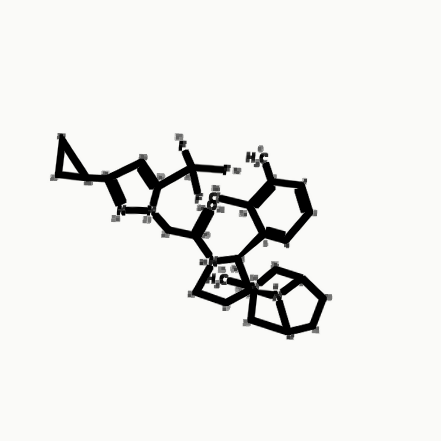 Cc1cccc([C@H]2[C@@H](N3C4CCC3CN(C)C4)CCN2C(=O)Cn2nc(C3CC3)cc2C(F)(F)F)c1Cl